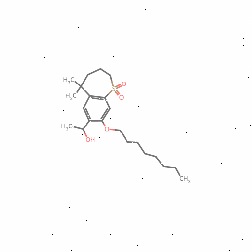 CCCCCCCCOc1cc2c(cc1C(C)O)C(C)(C)CCCS2(=O)=O